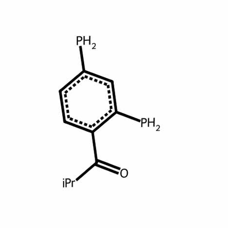 CC(C)C(=O)c1ccc(P)cc1P